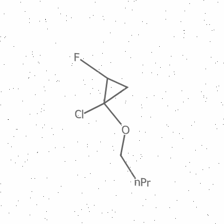 CCCCOC1(Cl)CC1F